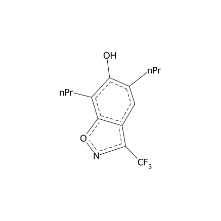 CCCc1cc2c(C(F)(F)F)noc2c(CCC)c1O